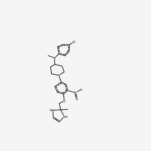 CN(c1ccc(Cl)cc1)C1CCN(c2ccc(OCC3(C)NC=CN3)c([N+](=O)[O-])c2)CC1